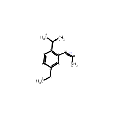 CCc1ccc(C(C)C)c(/C=C\N)c1